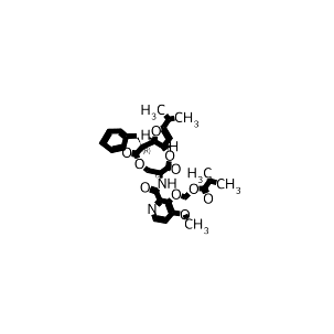 COc1ccnc(C(=O)N[C@H]2COC(=O)[C@H](Cc3ccccc3)[C@H]3OC(C(C)C)=C[C@@H]3OC2=O)c1OCOC(=O)C(C)C